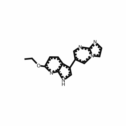 CCOc1ccc2c(-c3cnc4nccn4c3)c[nH]c2n1